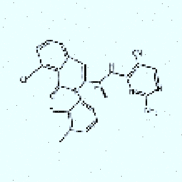 Cc1cccc(-n2c([C@H](C)Nc3nc(N)ncc3C#N)cc3cccc(Cl)c3c2=O)c1F